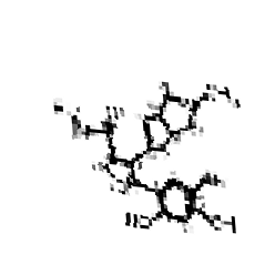 CCNC(=O)c1noc(-c2cc(C(C)C)c(O)cc2O)c1C1=CC2CN(C)CC2C1